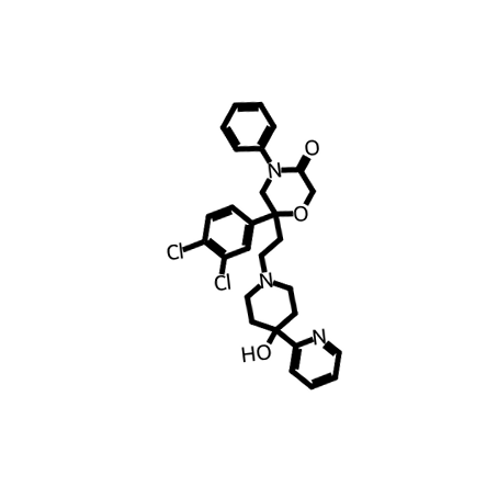 O=C1COC(CCN2CCC(O)(c3ccccn3)CC2)(c2ccc(Cl)c(Cl)c2)CN1c1ccccc1